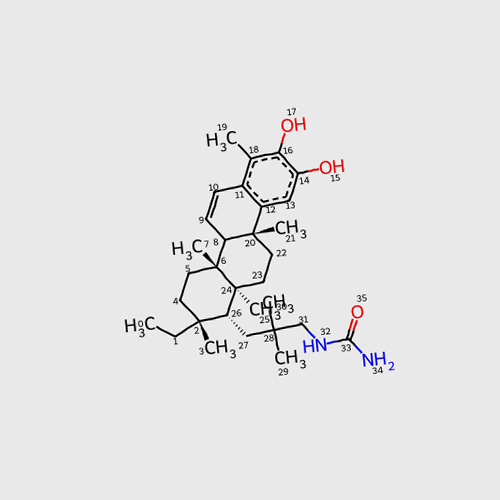 CC[C@]1(C)CC[C@]2(C)C3C=Cc4c(cc(O)c(O)c4C)[C@]3(C)CC[C@@]2(C)[C@@H]1CC(C)(C)CNC(N)=O